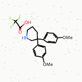 COc1ccc(C2(c3ccc(OC)cc3)CCCNC2)cc1.O=C(O)C(F)(F)F